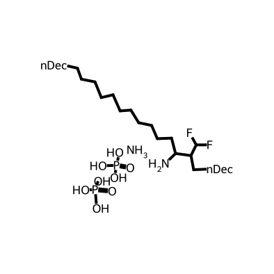 CCCCCCCCCCCCCCCCCCCCCC(N)C(CCCCCCCCCCC)C(F)F.N.O=P(O)(O)O.O=P(O)(O)O